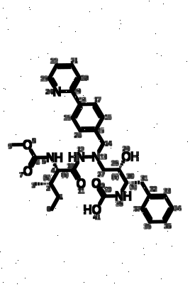 CC[C@H](C)[C@H](NC(=O)OC)C(=O)NN(Cc1ccc(-c2ccccn2)cc1)C[C@H](O)[C@H](Cc1ccccc1)NC(=O)O